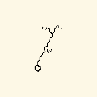 CCCN(CCC)CCCCCCCCCCCCc1ccccc1.O